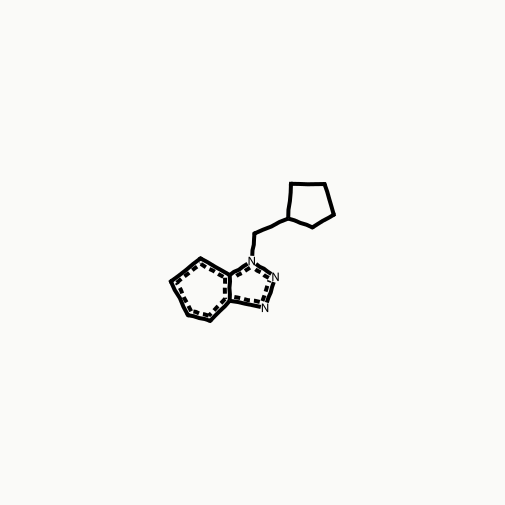 c1ccc2c(c1)nnn2CC1CCCC1